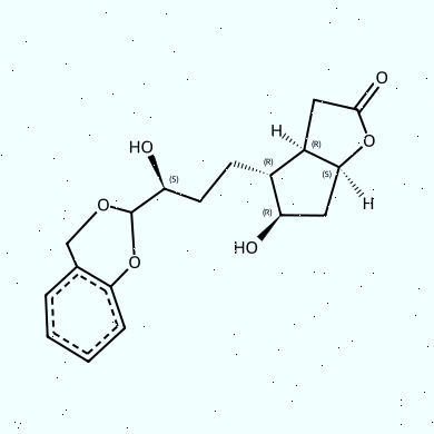 O=C1C[C@@H]2[C@@H](CC[C@H](O)C3OCc4ccccc4O3)[C@H](O)C[C@@H]2O1